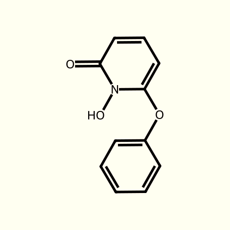 O=c1cccc(Oc2ccccc2)n1O